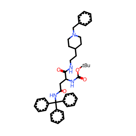 CC(C)(C)OC(=O)NC(CC(=O)NC(c1ccccc1)(c1ccccc1)c1ccccc1)C(=O)NCCC1CCN(Cc2ccccc2)CC1